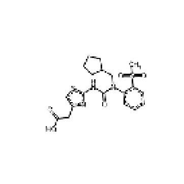 CS(=O)(=O)c1ccccc1N(CC1CCCC1)C(=O)Nc1nc(CC(=O)O)cs1